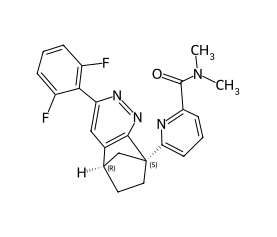 CN(C)C(=O)c1cccc([C@]23CC[C@H](C2)c2cc(-c4c(F)cccc4F)nnc23)n1